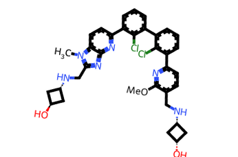 COc1nc(-c2cccc(-c3cccc(-c4ccc5c(n4)nc(CN[C@H]4C[C@H](O)C4)n5C)c3Cl)c2Cl)ccc1CN[C@H]1C[C@@H](O)C1